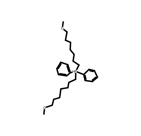 COCCCCCCC[PH](CCCCCCCOC)(c1ccccc1)c1ccccc1